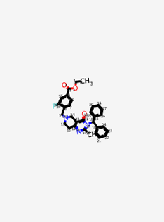 CCOC(=O)c1ccc(CN2CCc3nc(C)n(C(c4ccccc4)c4ccccc4)c(=O)c3C2)c(F)c1